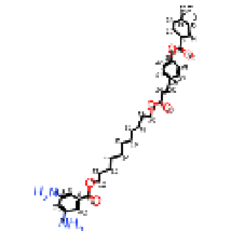 Nc1cc(N)cc(C(=O)OCCCCCCCCCCCOC(=O)C=Cc2ccc(OC(=O)C3CCC(C(F)(F)F)CC3)cc2)c1